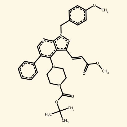 COC(=O)C=Cc1nn(Cc2ccc(OC)cc2)c2ncc(-c3ccccc3)c(N3CCN(C(=O)OC(C)(C)C)CC3)c12